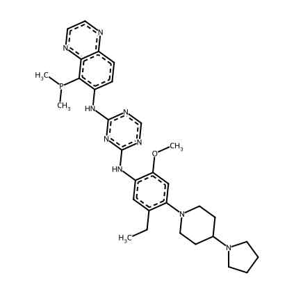 CCc1cc(Nc2ncnc(Nc3ccc4nccnc4c3P(C)C)n2)c(OC)cc1N1CCC(N2CCCC2)CC1